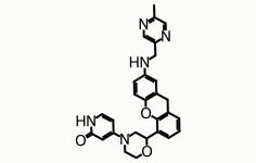 Cc1cnc(CNc2ccc3c(c2)Cc2cccc(C4CN(c5cc[nH]c(=O)c5)CCO4)c2O3)cn1